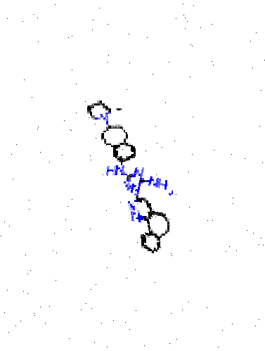 C[C@@H]1CCCN1C1CCc2ccc(Nc3nc(N)n(-c4cc5c(nn4)-c4ccccc4CCC5)n3)cc2CC1